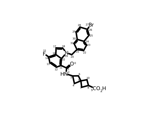 O=C(NC1CC2(C1)CC(C(=O)O)C2)c1ccc(F)c2ccn(Cc3ccc4cc(Br)ccc4c3)c12